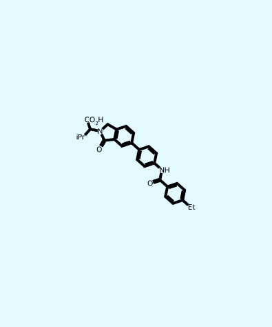 CCc1ccc(C(=O)Nc2ccc(-c3ccc4c(c3)C(=O)N(C(C(=O)O)C(C)C)C4)cc2)cc1